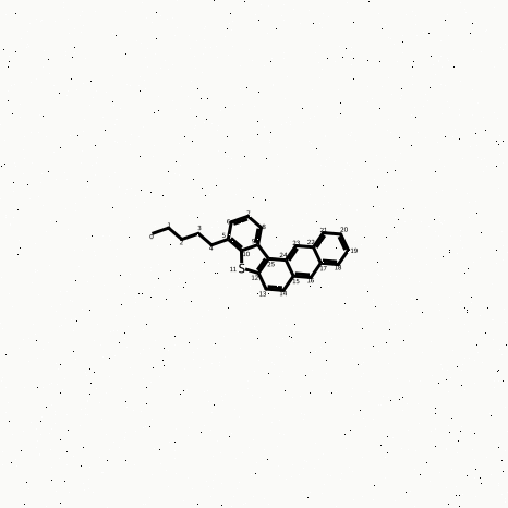 CCCCCc1cccc2c1sc1ccc3cc4ccccc4cc3c12